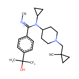 CC(O)(c1ccc(/C(=N/C#N)N(C2CC2)C2CCN(CC3(C#N)CC3)CC2)cc1)C(F)(F)F